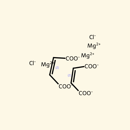 O=C([O-])/C=C\C(=O)[O-].O=C([O-])/C=C\C(=O)[O-].[Cl-].[Cl-].[Mg+2].[Mg+2].[Mg+2]